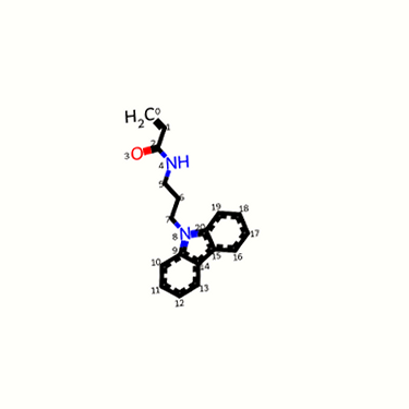 C=CC(=O)NCCCn1c2ccccc2c2ccccc21